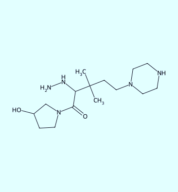 CC(C)(CCN1CCNCC1)C(NN)C(=O)N1CCC(O)C1